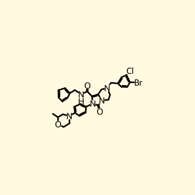 CC1CN(c2ccc(-n3c(C(=O)NCc4ccccc4)c4n(c3=O)CCN(Cc3ccc(Br)c(Cl)c3)C4)cc2)CCO1